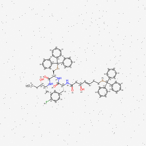 CC(C)[C@@H](NC(=O)[C@@H](CSC(c1ccccc1)(c1ccccc1)c1ccccc1)NC(=O)[C@@H](Cc1ccc(F)cc1)NC(=O)C[C@H](O)C=CCCSC(c1ccccc1)(c1ccccc1)c1ccccc1)[C@@H](O)CC(=O)O